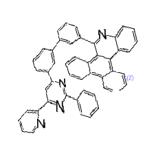 C=Cc1c(/C=C\C)c2c3ccccc3nc(-c3cccc(-c4cccc(-c5cc(-c6ccccn6)nc(-c6ccccc6)n5)c4)c3)c2c2ccccc12